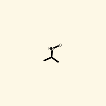 C[C](C)N[O]